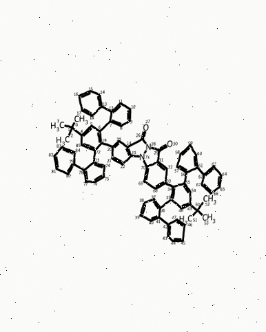 CC(C)(C)c1cc(-c2ccccc2-c2ccccc2)c(-c2ccc3c(c2)c(=O)n2c(=O)c4cc(-c5c(-c6ccccc6-c6ccccc6)cc(C(C)(C)C)cc5-c5ccccc5-c5ccccc5)ccc4n32)c(-c2ccccc2-c2ccccc2)c1